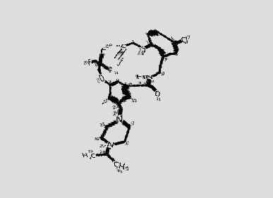 CCSc1ccc(Cl)cc1CNC(=O)c1cc(OC(F)(F)F)cc(N2CCN(C(C)C)CC2)c1